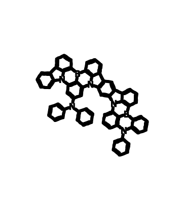 c1ccc(N(c2ccccc2)c2cc3c4c(c2)-n2c5cc6c(cc5c5cccc(c52)B4c2cccc4c5ccccc5n-3c24)c2cccc3c2n6-c2cccc4c2B3c2ccccc2N4c2ccccc2)cc1